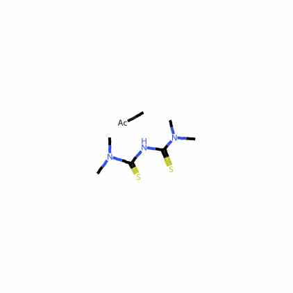 CC(C)=O.CN(C)C(=S)NC(=S)N(C)C